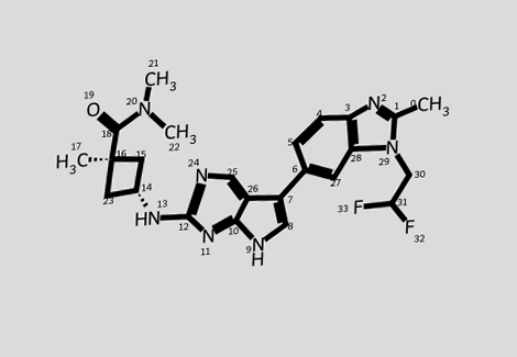 Cc1nc2ccc(-c3c[nH]c4nc(N[C@H]5C[C@](C)(C(=O)N(C)C)C5)ncc34)cc2n1CC(F)F